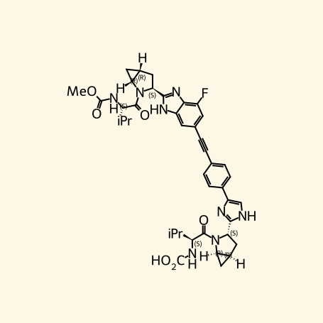 COC(=O)N[C@H](C(=O)N1[C@@H]2C[C@@H]2C[C@H]1c1nc2c(F)cc(C#Cc3ccc(-c4c[nH]c([C@@H]5C[C@H]6C[C@H]6N5C(=O)[C@@H](NC(=O)O)C(C)C)n4)cc3)cc2[nH]1)C(C)C